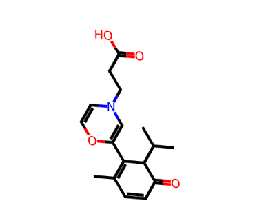 CC1=C(C2=CN(CCC(=O)O)C=CO2)C(C(C)C)C(=O)C=C1